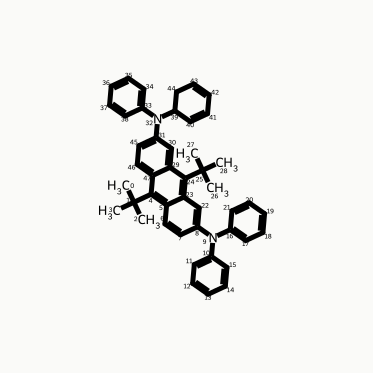 CC(C)(C)c1c2ccc(N(c3ccccc3)c3ccccc3)cc2c(C(C)(C)C)c2cc(N(c3ccccc3)C3C=CC=CC3)ccc12